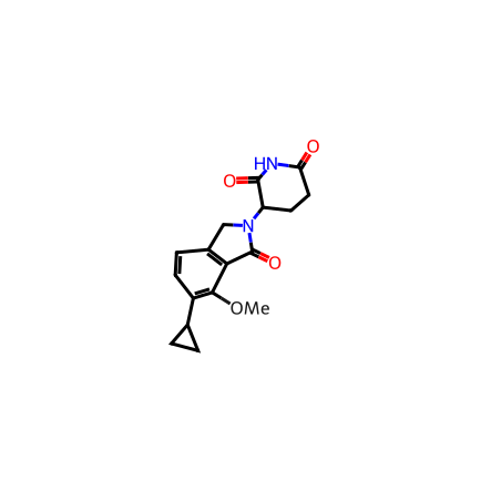 COc1c(C2CC2)ccc2c1C(=O)N(C1CCC(=O)NC1=O)C2